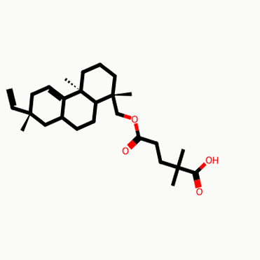 C=C[C@]1(C)CC=C2C(CCC3[C@@](C)(COC(=O)CCC(C)(C)C(=O)O)CCC[C@]23C)C1